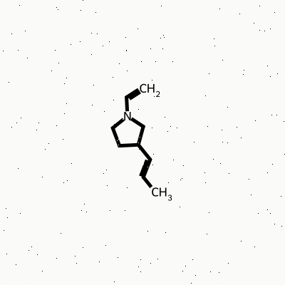 C=CN1CCC(C=CC)C1